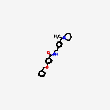 CC(c1ccc(CCNC(=O)c2ccc(OCc3ccccc3)cc2)cc1)N1CCCCCC1